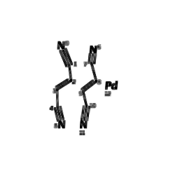 N#CC=CC#N.N#CC=CC#N.[Pd]